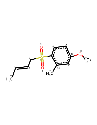 CC=CCS(=O)(=O)c1ccc(OC)cc1C